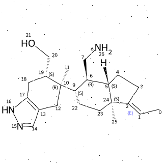 C/C=C1\CC[C@H]2[C@H](CN)[C@@H]([C@@]3(C)Cc4cn[nH]c4C[C@@H]3CO)CC[C@]12C